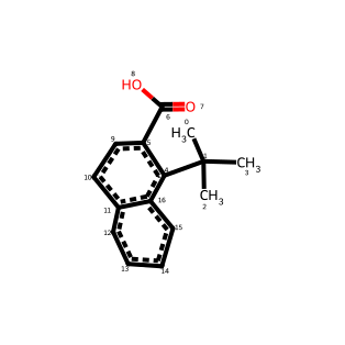 CC(C)(C)c1c(C(=O)O)ccc2ccccc12